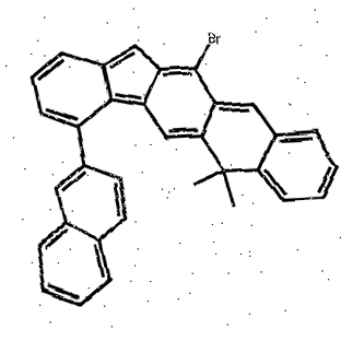 CC1(C)c2ccccc2C=c2c1cc1c(c2Br)C=c2cccc(-c3ccc4ccccc4c3)c2=1